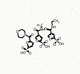 CCNC(=O)c1coc(S(=O)(=O)O)c1.CNC(=O)c1coc(S(=O)(=O)O)c1.O=C(c1ccc(S(=O)(=O)O)o1)N1CCOCC1